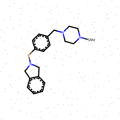 CSN1CCN(Cc2ccc(SN3Cc4ccccc4C3)cc2)CC1